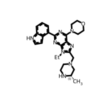 CCn1c(CN2CCN[C@@H](C)C2)nc2c(N3CCOCC3)nc(-c3cccc4[nH]ccc34)nc21